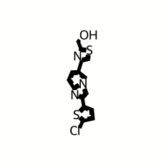 OCc1nc(-c2ccc3nc(-c4ccc(Cl)s4)cn3c2)cs1